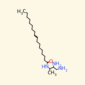 CCCCCCCCC=CCCCCCCCC(=O)NC(C)C(N)CN